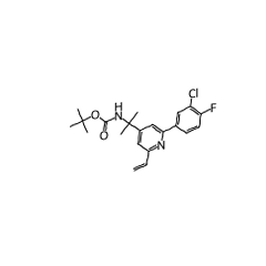 C=Cc1cc(C(C)(C)NC(=O)OC(C)(C)C)cc(-c2ccc(F)c(Cl)c2)n1